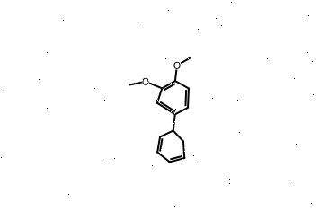 COc1ccc(C2C=CC=CC2)cc1OC